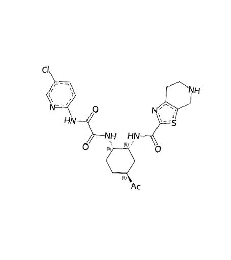 CC(=O)[C@H]1CC[C@H](NC(=O)C(=O)Nc2ccc(Cl)cn2)[C@H](NC(=O)c2nc3c(s2)CNCC3)C1